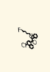 O=C(c1ccc(Cl)c2ccccc12)c1cn(CCCCCF)c2ccccc12